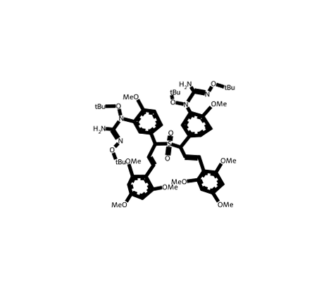 COc1cc(OC)c(C=CC(c2ccc(OC)c(N(OC(C)(C)C)C(N)=NOC(C)(C)C)c2)S(=O)(=O)C(C=Cc2c(OC)cc(OC)cc2OC)c2ccc(OC)c(N(OC(C)(C)C)C(N)=NOC(C)(C)C)c2)c(OC)c1